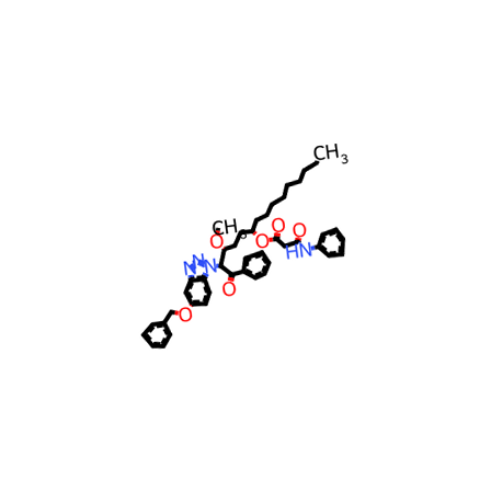 CCCCCCCCCC(CCC(OC)C(C(=O)c1ccccc1)n1nnc2cc(OCc3ccccc3)ccc21)OC(=O)CC(=O)Nc1ccccc1